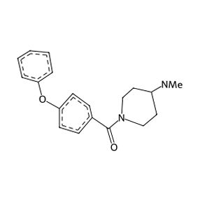 CNC1CCN(C(=O)c2ccc(Oc3ccccc3)cc2)CC1